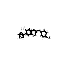 Oc1cc2c(cc1-c1cnco1)=NCN(Cc1ccc(Cl)cc1)C=2